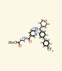 COC(=O)CCNC(=O)c1ccc(N[C@@H](c2ccc(-c3ccc(C(F)(F)F)cc3)cc2)C2CCOCC2)nc1